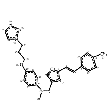 CN(Cc1coc(C=Cc2ccc(C(F)(F)F)cc2)n1)c1ccc(OCCCn2ccnn2)cc1